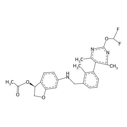 CC(=O)O[C@@H]1COc2cc(NCc3cccc(-c4c(C)nc(OC(F)F)nc4C)c3C)ccc21